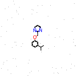 CC(C)c1cccc(OCc2ncccn2)c1